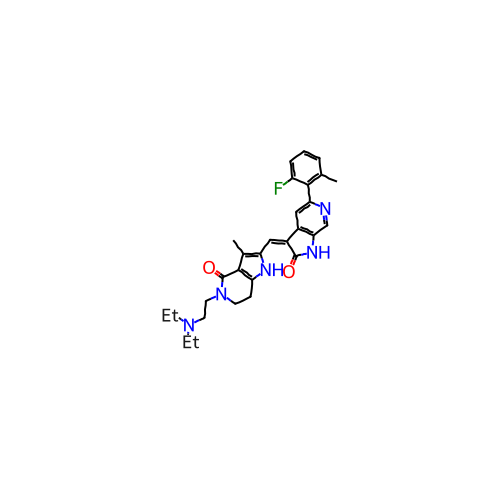 CCN(CC)CCN1CCc2[nH]c(C=C3C(=O)Nc4cnc(-c5c(C)cccc5F)cc43)c(C)c2C1=O